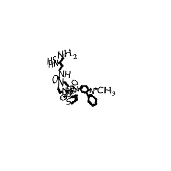 CCN1C2=C(C=CCC2)C2=CC(NC(=O)[C@@H]3CN(C(=O)NCCC(CN)NS)CCN3S(=O)(=O)c3cccs3)=CCC21